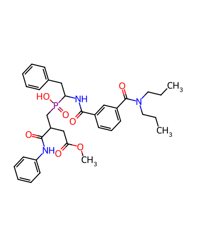 CCCN(CCC)C(=O)c1cccc(C(=O)NC(Cc2ccccc2)P(=O)(O)CC(CC(=O)OC)C(=O)Nc2ccccc2)c1